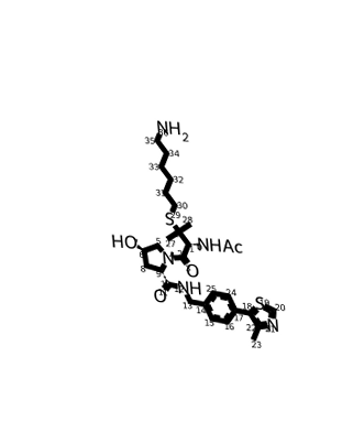 CC(=O)N[C@H](C(=O)N1C[C@H](O)C[C@H]1C(=O)NCc1ccc(-c2scnc2C)cc1)C(C)(C)SCCCCCCN